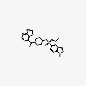 CCN=S(=O)(CC1CCC(N(C)c2ncnc3[nH]ccc23)CC1)c1ccc2[nH]ncc2c1